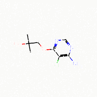 CC(C)(O)COc1ncnc(N)c1Cl